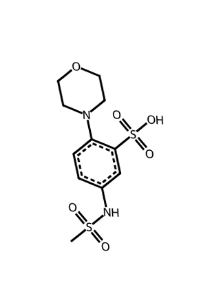 CS(=O)(=O)Nc1ccc(N2CCOCC2)c(S(=O)(=O)O)c1